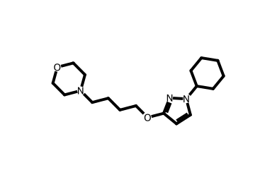 c1cn(C2CCCCC2)nc1OCCCCN1CCOCC1